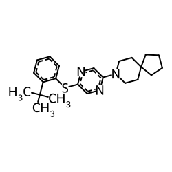 CC(C)(C)c1ccccc1Sc1cnc(N2CCC3(CCCC3)CC2)cn1